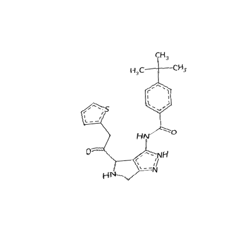 CC(C)(C)c1ccc(C(=O)Nc2[nH]nc3c2C(C(=O)Cc2cccs2)NC3)cc1